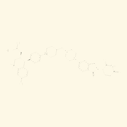 CC(C)C[C@@H]1CC(F)(F)c2cc(O)ccc2[C@@H]1c1ccc(N2CCC(CN3CCN(c4ccc5c(c4)CN([C@H]4CCC(=O)NC4=O)C5=O)CC3)CC2)cc1